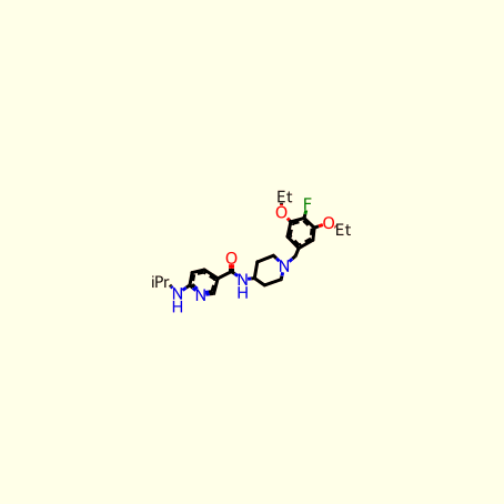 CCOc1cc(CN2CCC(NC(=O)c3ccc(NC(C)C)nc3)CC2)cc(OCC)c1F